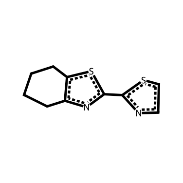 c1csc(-c2nc3c(s2)CCCC3)n1